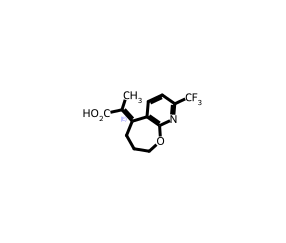 C/C(C(=O)O)=C1/CCCOc2nc(C(F)(F)F)ccc21